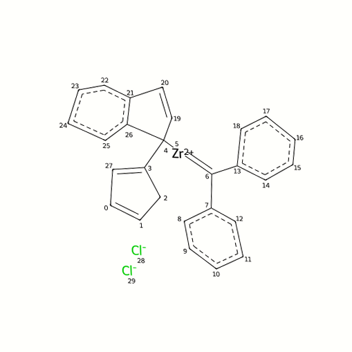 C1=CCC([C]2([Zr+2]=[C](c3ccccc3)c3ccccc3)C=Cc3ccccc32)=C1.[Cl-].[Cl-]